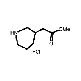 COC(=O)C[C@H]1CCCNC1.Cl